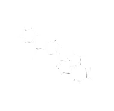 O=C1C=CC2=CN=C(c3cccc(C(=O)c4ccccc4)c3)N3CCC(=C23)N1